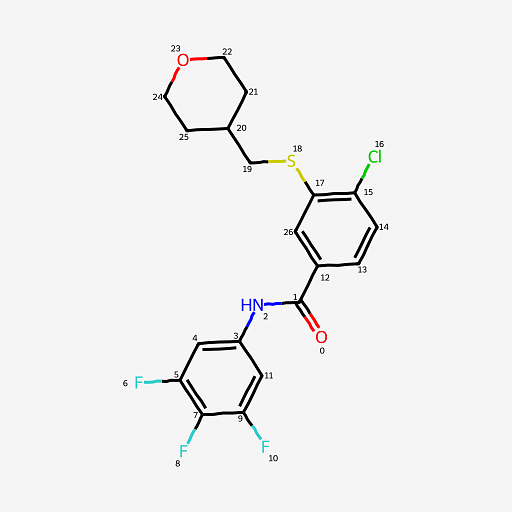 O=C(Nc1cc(F)c(F)c(F)c1)c1ccc(Cl)c(SCC2CCOCC2)c1